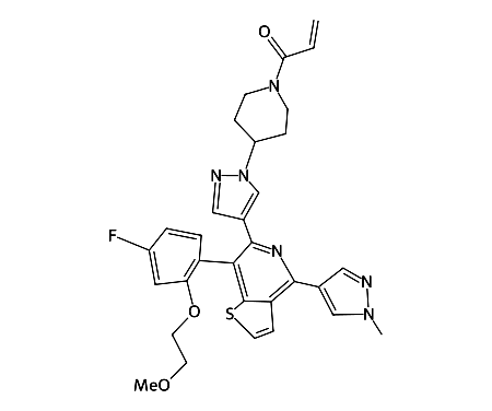 C=CC(=O)N1CCC(n2cc(-c3nc(-c4cnn(C)c4)c4ccsc4c3-c3ccc(F)cc3OCCOC)cn2)CC1